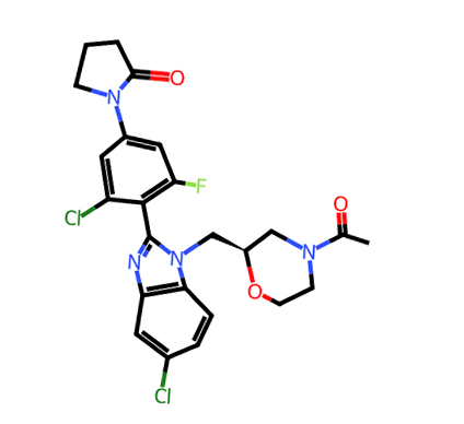 CC(=O)N1CCO[C@@H](Cn2c(-c3c(F)cc(N4CCCC4=O)cc3Cl)nc3cc(Cl)ccc32)C1